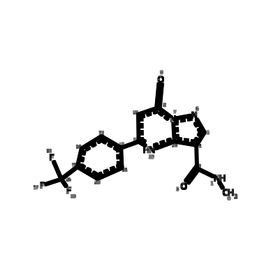 CNC(=O)c1cnn2c(=O)cc(-c3ccc(C(F)(F)F)cc3)[nH]c12